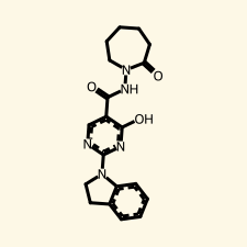 O=C(NN1CCCCCC1=O)c1cnc(N2CCc3ccccc32)nc1O